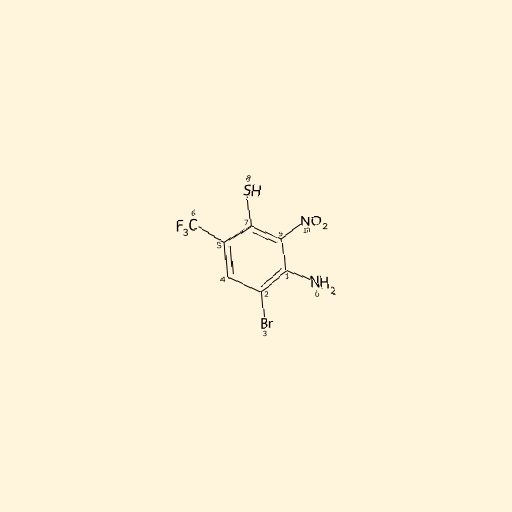 Nc1c(Br)cc(C(F)(F)F)c(S)c1[N+](=O)[O-]